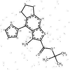 CC(C)(C)OC(=O)c1sc2nc3c(c(-c4ccco4)c2c1N)CCC3